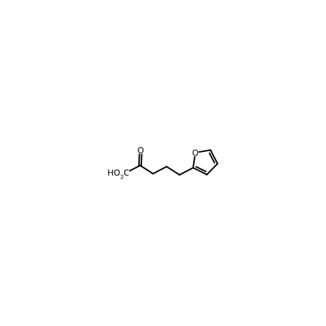 O=C(O)C(=O)CCCc1ccco1